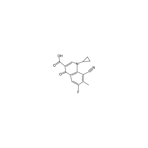 Cc1c(F)cc2c(=O)c(C(=O)O)cn(C3CC3)c2c1C#N